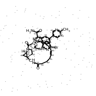 Cc1ncc(-c2cc3c4c(c2)c(C(N)=O)nn4CC(=O)N2[C@H](C(=O)Nc4nc(Br)ccc4C)C[C@@]4(CNC(=O)CCCC=CC3)C[C@@H]24)cn1